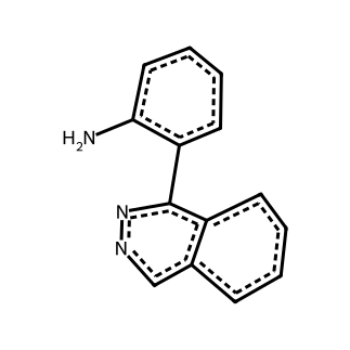 Nc1ccccc1-c1nncc2ccccc12